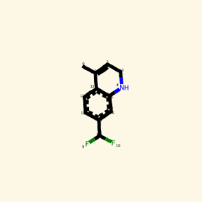 CC1=CCNc2cc(C(F)F)ccc21